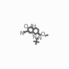 CCOc1nc(C(C)(C)C)nc2c1CC[C@H]1[C@H](C)C(=O)C(C#N)=C[C@]21C